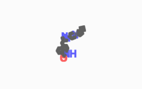 O=C1Nc2ccc(Cc3cnn(C4CCN([C@H]5CCC6(CCC6)C5)CC4)c3)c3cccc1c23